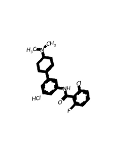 CN(C)C1CC=C(c2cccc(NC(=O)c3c(F)cccc3Cl)c2)CC1.Cl